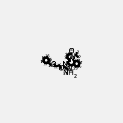 CC(C)n1nc(-c2nc(OCCOCc3ccccc3)c(N)nc2-c2ccccc2)ccc1=O